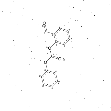 O=Cc1ccccc1OC(=O)Oc1ccccc1